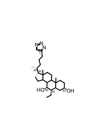 CC[C@@H]1C2C[C@H](O)CCC2(C)C2CCC3(C)C(CC[C@@H]3[C@H](C)CCCn3cnnn3)C2[C@@H]1O